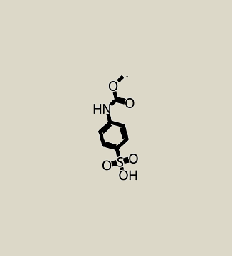 [CH2]OC(=O)Nc1ccc(S(=O)(=O)O)cc1